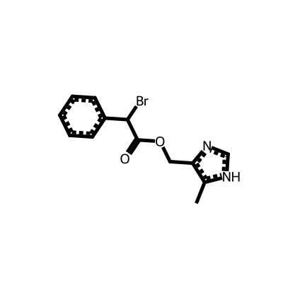 Cc1[nH]cnc1COC(=O)C(Br)c1ccccc1